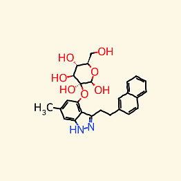 Cc1cc(O[C@]2(O)[C@H](O)O[C@H](CO)[C@@H](O)[C@@H]2O)c2c(CCc3ccc4ccccc4c3)n[nH]c2c1